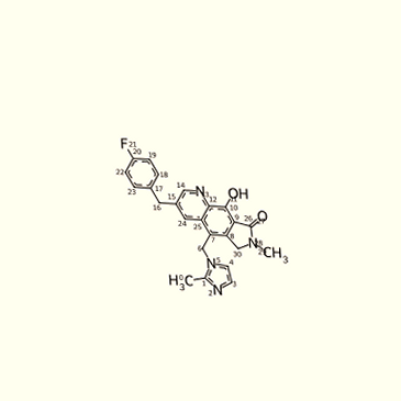 Cc1nccn1Cc1c2c(c(O)c3ncc(Cc4ccc(F)cc4)cc13)C(=O)N(C)C2